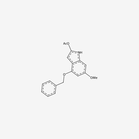 COc1cc(OCc2ccccc2)c2cc(OC(C)=O)[nH]c2c1